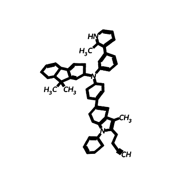 C#CCCc1c(C)c2c(n1C1=CC=CCC1)CCC(C1=CCC(N(c3cccc(C4=CC=CNC4C)c3)C3C=C4C(=CC3)C3C=CCCC3C4(C)C)CC1)=C2